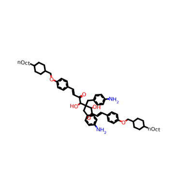 CCCCCCCCC1CCC(COc2ccc(/C=C/C(=O)C(O)C(Cc3ccc(N)cc3)(Cc3ccc(N)cc3)C(O)C(=O)/C=C/c3ccc(OCC4CCC(CCCCCCCC)CC4)cc3)cc2)CC1